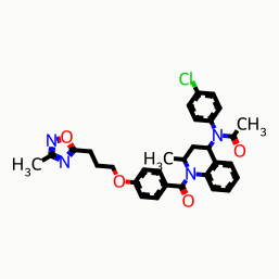 CC(=O)N(c1ccc(Cl)cc1)C1CC(C)N(C(=O)c2ccc(OCCCc3nc(C)no3)cc2)c2ccccc21